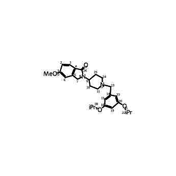 COc1ccc2c(c1)CN(C1CCN(Cc3cc(OC(C)C)cc(OC(C)C)c3)CC1)C2=O